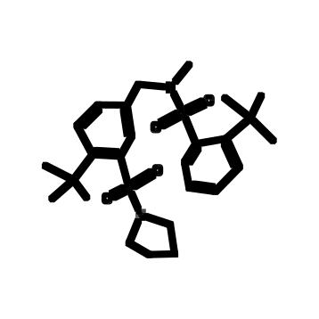 CN(Cc1ccc(C(C)(C)C)c(S(=O)(=O)N2CCCC2)c1)S(=O)(=O)c1ccccc1C(C)(C)C